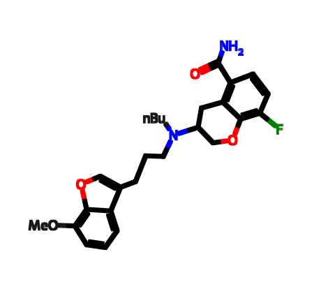 CCCCN(CCCc1coc2c(OC)cccc12)C1COc2c(F)ccc(C(N)=O)c2C1